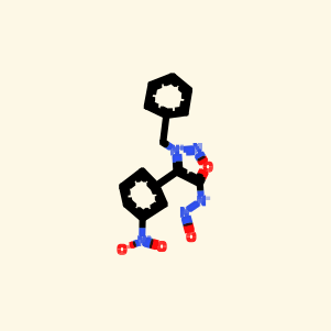 O=N[N-]c1on[n+](Cc2ccccc2)c1-c1cccc([N+](=O)[O-])c1